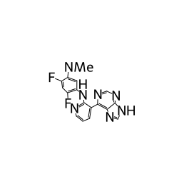 CNc1cc(Nc2ncccc2-c2ncnc3[nH]cnc23)c(F)cc1F